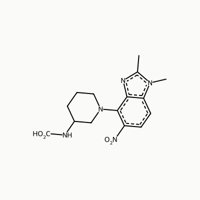 Cc1nc2c(N3CCCC(NC(=O)O)C3)c([N+](=O)[O-])ccc2n1C